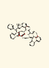 Nc1c(-c2ccccc2)cc(Nc2ccc3c(-c4ccccc4-c4ccccc4)c4ccccc4c(-c4ccccc4-c4ccccc4)c3c2)c(-c2ccccc2)c1-c1ccccc1